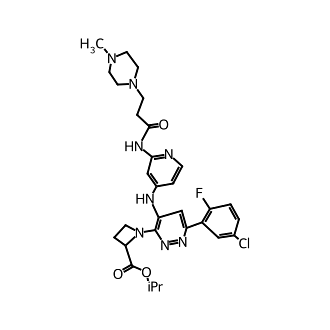 CC(C)OC(=O)C1CCN1c1nnc(-c2cc(Cl)ccc2F)cc1Nc1ccnc(NC(=O)CCN2CCN(C)CC2)c1